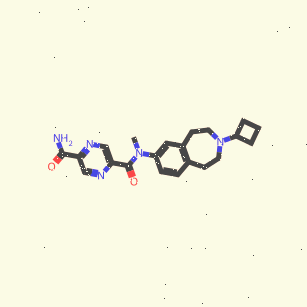 CN(C(=O)c1cnc(C(N)=O)cn1)c1ccc2c(c1)CCN(C1CCC1)CC2